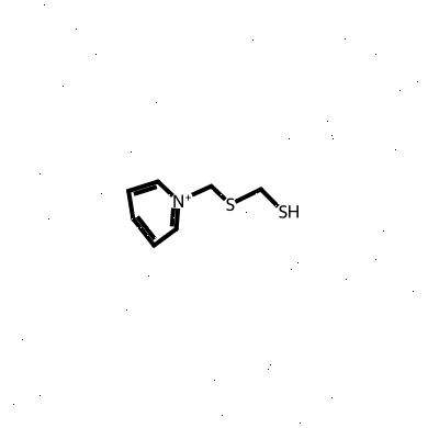 SCSC[n+]1ccccc1